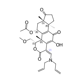 C=CCN(/C=C1\C(=O)O[C@H](COC)[C@@]2(C)C1=C(O)C(=O)C1=C2[C@H](OC(C)=O)C[C@]2(C)C(=O)CC[C@@]12C)CC=C